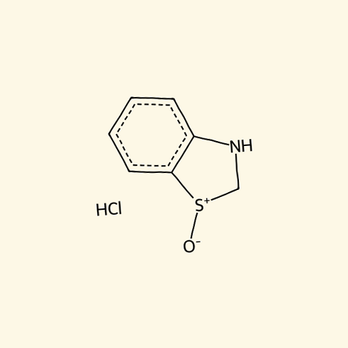 Cl.[O-][S+]1CNc2ccccc21